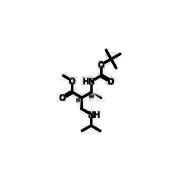 COC(=O)[C@H](CNC(C)C)[C@@H](C)NC(=O)OC(C)(C)C